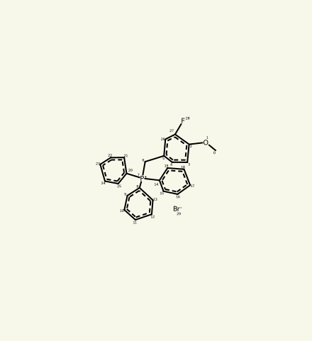 COc1ccc(C[P+](c2ccccc2)(c2ccccc2)c2ccccc2)cc1F.[Br-]